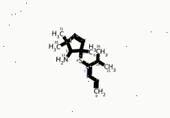 C=C/C=C(/SC1(C)C=CC(C)(C)C1N)C(C)C